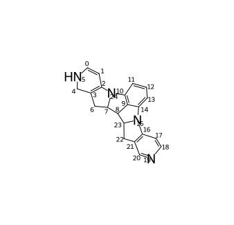 C1=CC2=C(CN1)CC1C3c4c(cccc4N4c5ccncc5CC34)N21